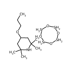 CCCOC1CC(C)(C)NC(C)(C)C1.O1[SiH2]O[SiH2]O[SiH2]O[SiH2]1